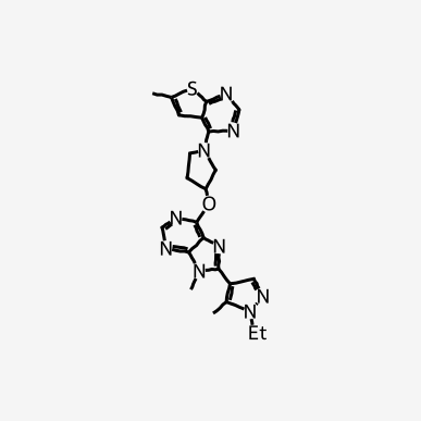 CCn1ncc(-c2nc3c(OC4CCN(c5ncnc6sc(C)cc56)C4)ncnc3n2C)c1C